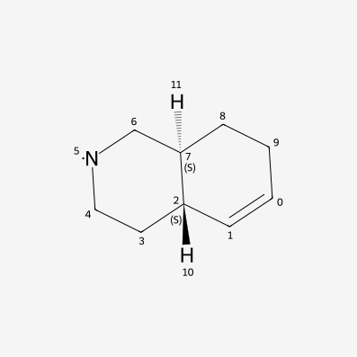 C1=C[C@@H]2CC[N]C[C@H]2CC1